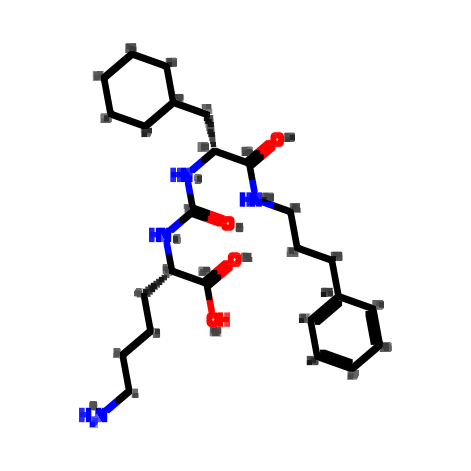 NCCCC[C@H](NC(=O)N[C@H](CC1CCCCC1)C(=O)NCCCc1ccccc1)C(=O)O